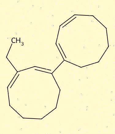 CCC1=CCCCCCC(C2=CC=CCCCCC2)=C1